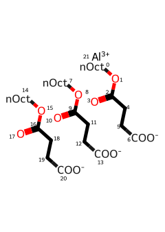 CCCCCCCCOC(=O)CCC(=O)[O-].CCCCCCCCOC(=O)CCC(=O)[O-].CCCCCCCCOC(=O)CCC(=O)[O-].[Al+3]